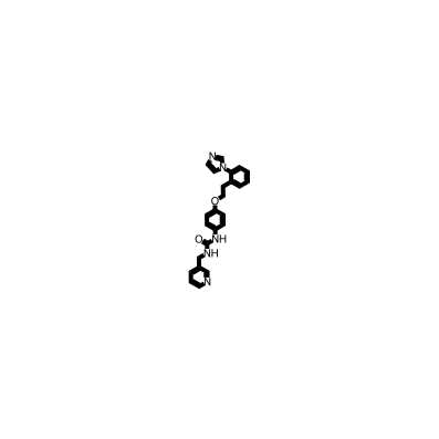 O=C(NCc1cccnc1)Nc1ccc(OCCc2ccccc2-n2ccnc2)cc1